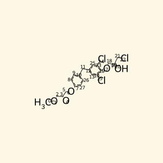 COCC(=O)COc1ccc(Cc2cc(Cl)c(OC[C@@H](O)CCl)c(Cl)c2)cc1